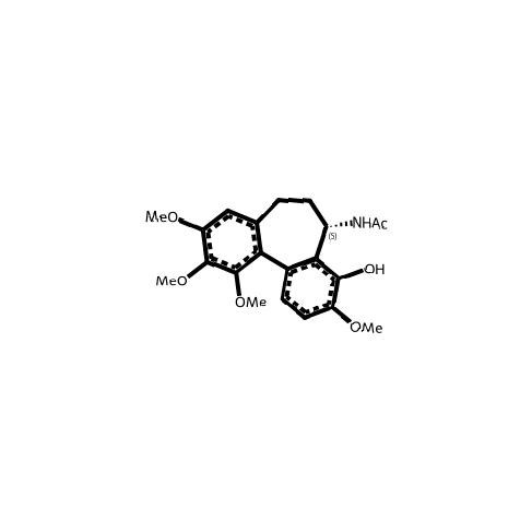 COc1ccc2c(c1O)[C@@H](NC(C)=O)CCc1cc(OC)c(OC)c(OC)c1-2